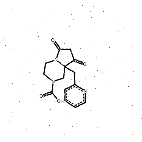 O=C(O)N1CCN2C(=O)CC(=O)C2(Cc2ccccn2)C1